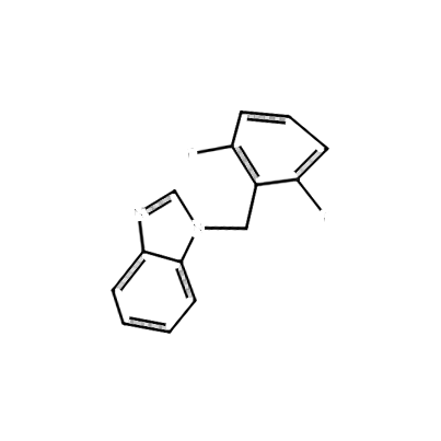 Fc1cccc(F)c1Cn1cnc2ccccc21